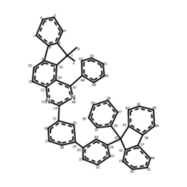 CC1(C)c2ccccc2-c2ccc3nc(-c4cccc(-c5cccc(C6(c7ccccc7)c7ccccc7-c7ccccc76)c5)c4)nc(-c4ccccc4)c3c21